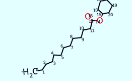 [CH2]CCCCCCCCCCCC(=O)OC1CCCCC1